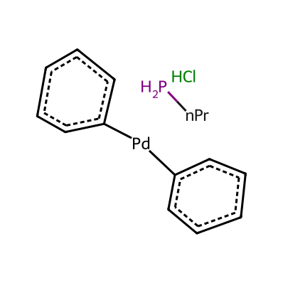 CCCP.Cl.c1cc[c]([Pd][c]2ccccc2)cc1